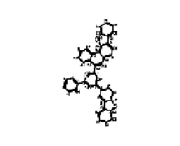 c1ccc(-c2nc(-c3ccc4sc5ccccc5c4c3)nc(-c3cc4ccc5c6ccccc6oc5c4c4ccccc34)n2)cc1